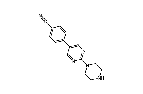 N#Cc1ccc(-c2cnc(N3CCNCC3)nc2)cc1